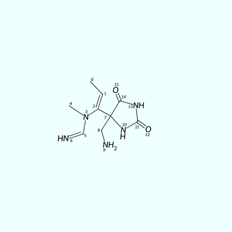 C/C=C(\N(C)C=N)C1(CN)NC(=O)NC1=O